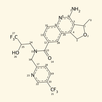 CC1OCc2c1c(N)nc1ccc(C(=O)N(Cc3ccc(C(F)(F)F)cn3)CC(O)C(F)(F)F)cc21